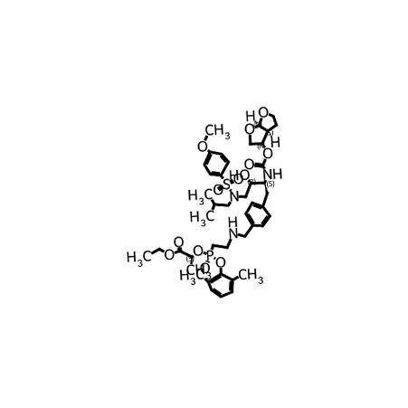 CCOC(=O)[C@H](C)OP(=O)(CCNCc1ccc(C[C@H](NC(=O)O[C@H]2CO[C@H]3OCC[C@H]32)[C@H](O)CN(CC(C)C)S(=O)(=O)c2ccc(OC)cc2)cc1)Oc1c(C)cccc1C